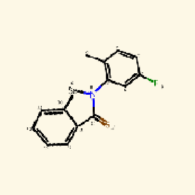 Cc1ccc(F)cc1-n1[se]c2ccccc2c1=S